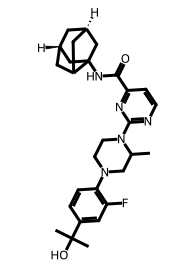 CC1CN(c2ccc(C(C)(C)O)cc2F)CCN1c1nccc(C(=O)NC23C[C@@H]4CC2C[C@@H](C4)C3)n1